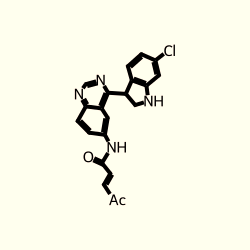 CC(=O)C=CC(=O)Nc1ccc2ncnc(C3CNc4cc(Cl)ccc43)c2c1